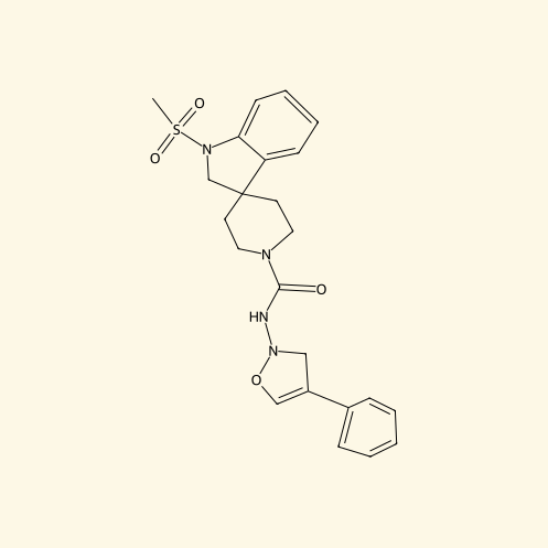 CS(=O)(=O)N1CC2(CCN(C(=O)NN3CC(c4ccccc4)=CO3)CC2)c2ccccc21